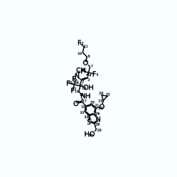 C=N/C(=C\C(F)(F)COCCCF)C(O)(CNC(=O)c1cc(OC2CC2)c2nc(CO)sc2c1)C(F)(F)F